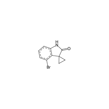 O=C1Nc2cccc(Br)c2C12CC2